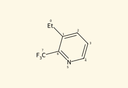 CCc1cc[c]nc1C(F)(F)F